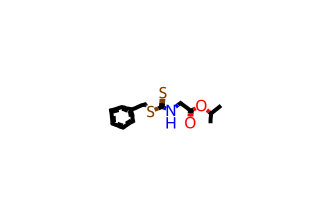 CC(C)OC(=O)CNC(=S)SCc1ccccc1